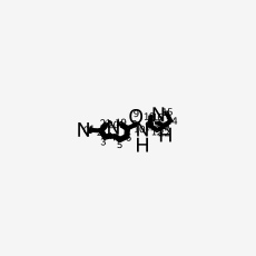 N#Cc1cc2ccc(C(=O)N[C@@H]3C[C@H]4CCN(C4)C3)cn2c1